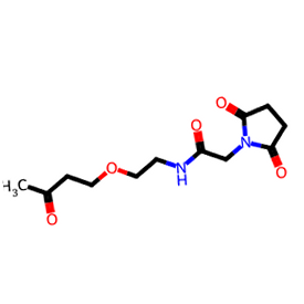 CC(=O)CCOCCNC(=O)CN1C(=O)CCC1=O